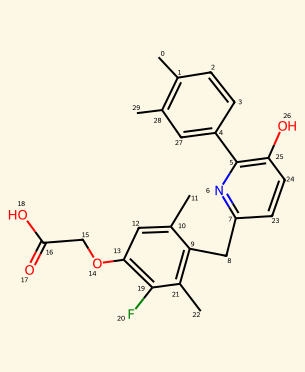 Cc1ccc(-c2nc(Cc3c(C)cc(OCC(=O)O)c(F)c3C)ccc2O)cc1C